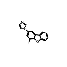 Ic1cc(-n2ccnc2)cc2c1oc1ccccc12